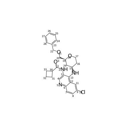 O=C(Nc1cnc2ccc(Cl)cc2c1N[C@@H]1CCO[C@H](COCc2ccccc2)C1)C1CCC1